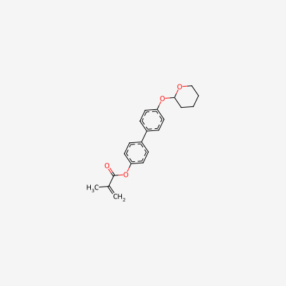 C=C(C)C(=O)Oc1ccc(-c2ccc(OC3CCCCO3)cc2)cc1